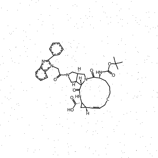 CC(C)(C)OC(=O)N[C@H]1CCCCC/C=C\[C@@H]2C[C@@]2(C(=O)O)NC(=O)[C@@H]2[C@H]3CN(C(=O)Cn4c(-c5ccccc5)nc5ccccc54)C[C@H]3CN2C1=O